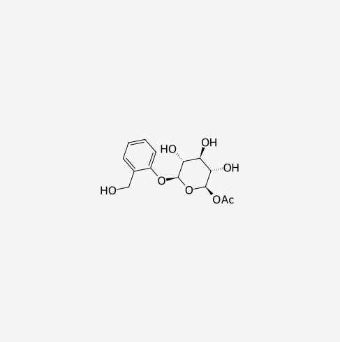 CC(=O)O[C@H]1O[C@@H](Oc2ccccc2CO)[C@H](O)[C@@H](O)[C@@H]1O